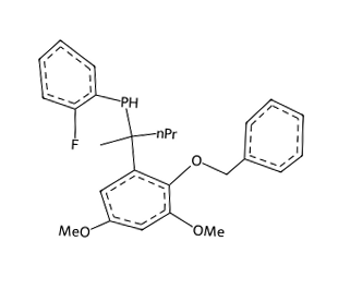 CCCC(C)(Pc1ccccc1F)c1cc(OC)cc(OC)c1OCc1ccccc1